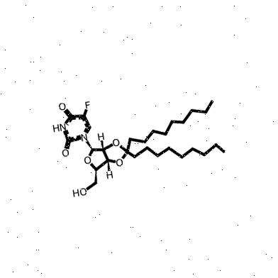 CCCCCCCCCC1(CCCCCCCCC)O[C@@H]2[C@H](O1)[C@@H](CO)O[C@H]2n1cc(F)c(=O)[nH]c1=O